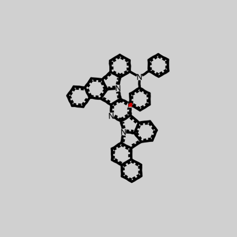 c1ccc(N(c2ccccc2)c2cccc3c4cc5ccccc5c5c6nc7c(nc6n(c23)c45)c2cccc3c4c5ccccc5ccc4n7c23)cc1